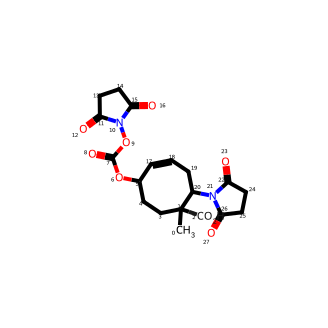 CC1(C(=O)O)CCC(OC(=O)ON2C(=O)CCC2=O)C=CCC1N1C(=O)CCC1=O